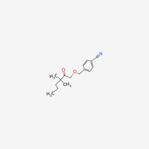 CCCC(C)(C)C(=O)COCc1ccc(C#N)cc1